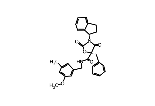 COc1cc(C)cc(CNC(=O)[C@@]2(Cc3ccccc3)OC(=O)N([C@@H]3CCc4ccccc43)C2=O)c1